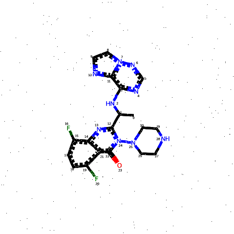 CC(Nc1ncnn2ccnc12)c1nc2c(F)ccc(F)c2c(=O)n1N1CCNCC1